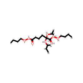 CCCCOOC(=O)CCCC(OC(C)C)(OC(C)CC)C(=O)OOCCCC